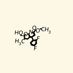 CCOC(=O)c1cc(-c2ccc(F)cc2F)c2c(n1)O[C@H](CO)[C@H](C)C2